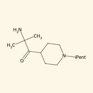 CCCC(C)N1CCC(C(=O)C(C)(C)N)CC1